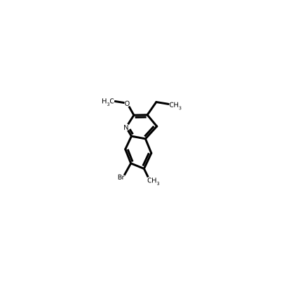 CCc1cc2cc(C)c(Br)cc2nc1OC